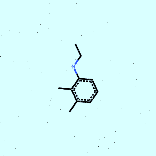 CC[N]c1cccc(C)c1C